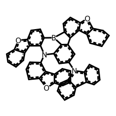 c1ccc2c(c1)oc1cccc(N3c4cc(-n5c6ccccc6c6ccccc65)cc5c4B(c4ccc6oc7ccccc7c6c4-5)c4ccc5oc6ccccc6c5c43)c12